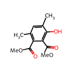 COC(=O)c1c(C)cc(C)c(O)c1C(=O)OC